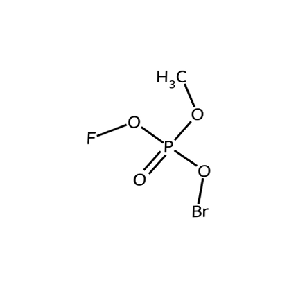 COP(=O)(OF)OBr